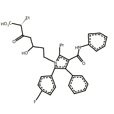 CC[C@@H](C(=O)O)C(=O)CC(O)CCn1c(-c2ccc(F)cc2)c(-c2ccccc2)c(C(=O)Nc2ccccc2)c1C(C)C